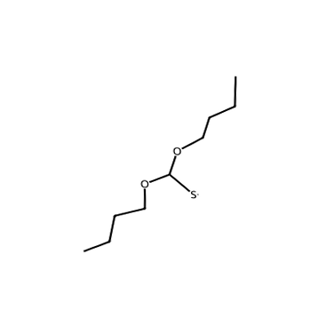 CCCCOC([S])OCCCC